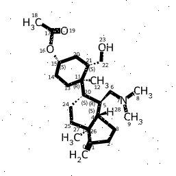 C=C1CC[C@H]2[C@H](CN(C)C)[C@@H]([C@@]3(C)CC[C@H](OC(C)=O)C[C@@H]3CO)CC[C@]12C